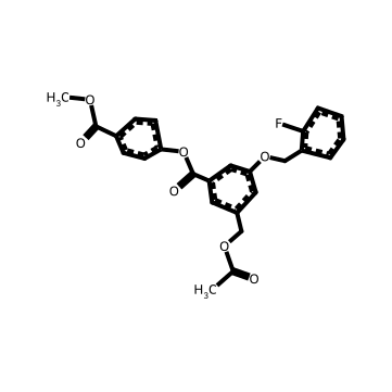 COC(=O)c1ccc(OC(=O)c2cc(COC(C)=O)cc(OCc3ccccc3F)c2)cc1